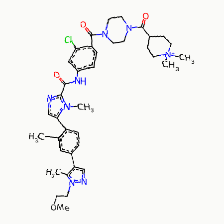 COCCn1ncc(-c2ccc(-c3cnc(C(=O)Nc4ccc(C(=O)N5CCN(C(=O)C6CC[N+](C)(C)CC6)CC5)c(Cl)c4)n3C)c(C)c2)c1C